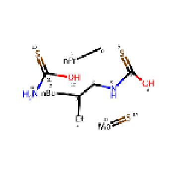 CCCC.CCCCC(CC)CNC(O)=S.NC(O)=S.[S]=[Mo]